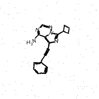 Nc1ncnn2c(C3CCC3)nc(C#Cc3ccccc3)c12